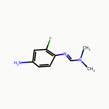 CN(C)C=Nc1ccc(N)cc1F